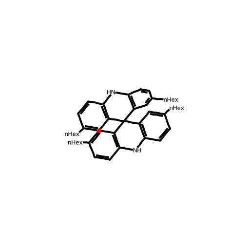 CCCCCCc1ccc2c(c1)C1(c3cc(CCCCCC)ccc3N2)c2cc(CCCCCC)ccc2Nc2ccc(CCCCCC)cc21